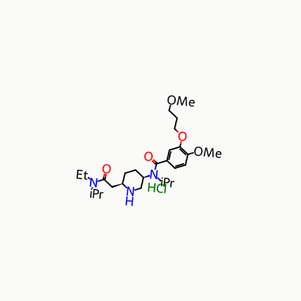 CCN(C(=O)C[C@H]1CC[C@@H](N(C(=O)c2ccc(OC)c(OCCCOC)c2)C(C)C)CN1)C(C)C.Cl